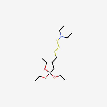 CCO[Si](CCCSSSN(CC)CC)(OCC)OCC